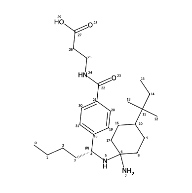 CCCC[C@@H](NC1(N)CCC(C(C)(C)CC)CC1)c1ccc(C(=O)NCCC(=O)O)cc1